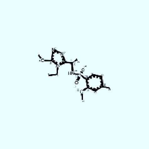 CCn1c(OC)nnc1[C@@H](C)NS(=O)(=O)c1ccc(C)cc1OC